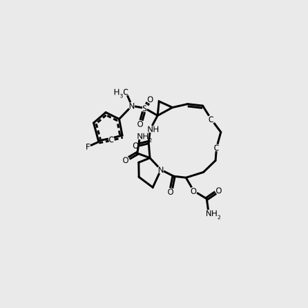 CN(c1ccc(F)cc1)S(=O)(=O)C12CC1C=CCCCCCC(OC(N)=O)C(=O)N1CCCC1(C(N)=O)C(=O)N2